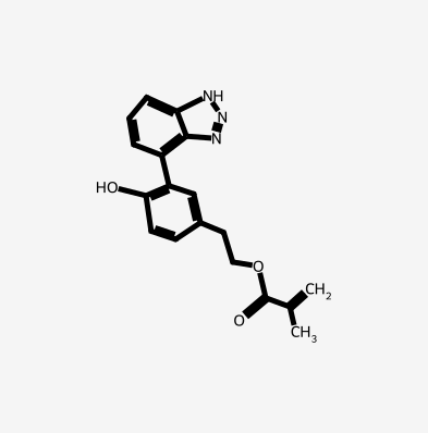 C=C(C)C(=O)OCCc1ccc(O)c(-c2cccc3[nH]nnc23)c1